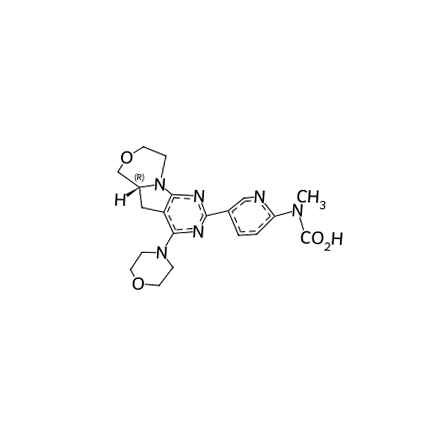 CN(C(=O)O)c1ccc(-c2nc(N3CCOCC3)c3c(n2)N2CCOC[C@H]2C3)cn1